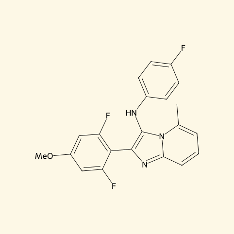 COc1cc(F)c(-c2nc3cccc(C)n3c2Nc2ccc(F)cc2)c(F)c1